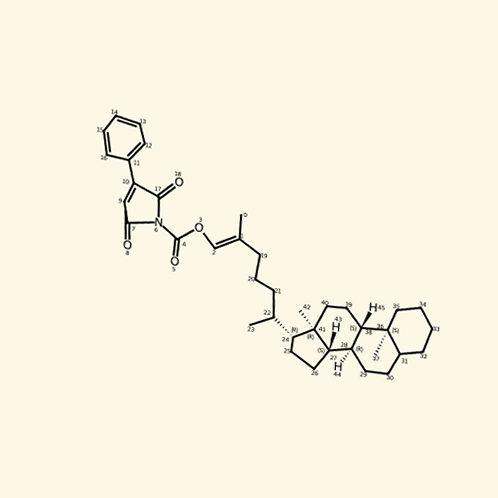 CC(=COC(=O)N1C(=O)C=C(c2ccccc2)C1=O)CCCC(C)[C@H]1CC[C@H]2[C@@H]3CCC4CCCC[C@]4(C)[C@H]3CC[C@]12C